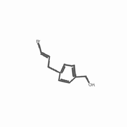 OCc1ccc(CC=CBr)cc1